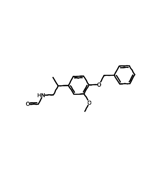 COc1cc(C(C)CNC=O)ccc1OCc1ccccc1